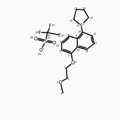 COCCOc1cccc2c([S+]3CCCC3)cccc12.O=S(=O)([O-])C(F)(F)F